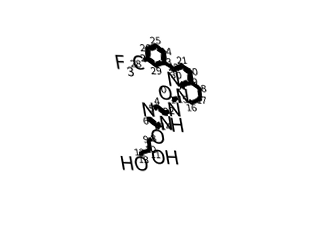 O=C(Nc1cncc(OCC(O)CO)n1)N1CCCc2ccc(-c3cccc(C(F)(F)F)c3)nc21